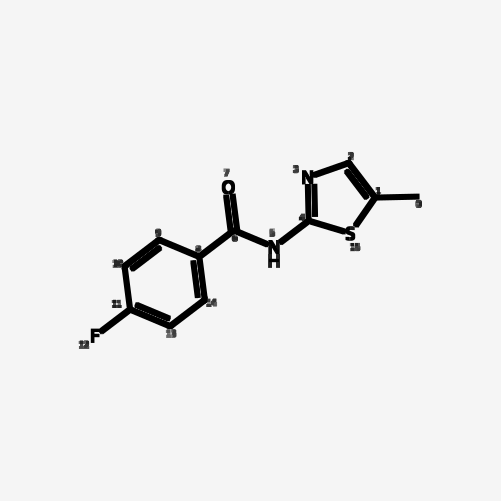 Cc1cnc(NC(=O)c2ccc(F)cc2)s1